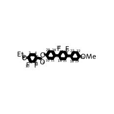 CCOc1ccc(C(=O)Oc2ccc(-c3ccc(-c4ccc(OC)cc4)c(F)c3F)cc2)c(F)c1F